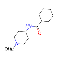 O=CN1CCC(NC(=O)C2CCCCC2)CC1